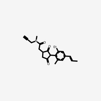 C#CCN(C)C(=O)CC1CC(=O)C(c2c(C)cc(/C=C/C)cc2CC)C1=O